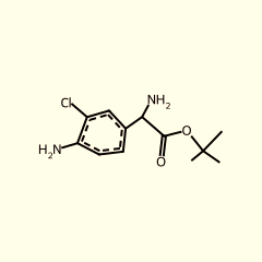 CC(C)(C)OC(=O)C(N)c1ccc(N)c(Cl)c1